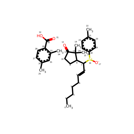 CCCCC/C=C/C(C1CCC(=O)C1(C)C)[S+]([O-])c1ccc(C)cc1.Cc1ccc(C(=O)O)c(C)c1